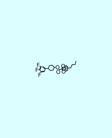 CCCCC12COC(C(=O)OC3CCC(c4cc(F)c(F)c(F)c4)CC3)(OC1)OC2